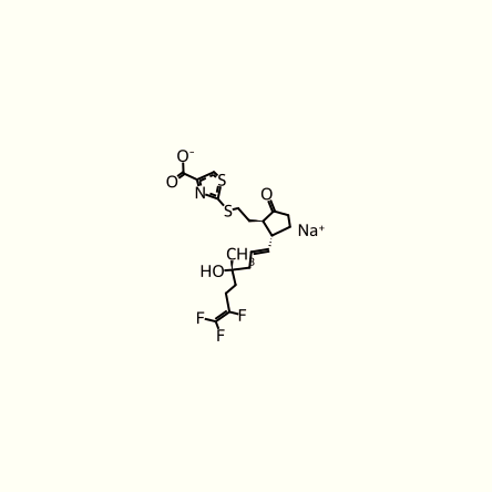 C[C@@](O)(C/C=C/[C@H]1CCC(=O)[C@@H]1CCSc1nc(C(=O)[O-])cs1)CCC(F)=C(F)F.[Na+]